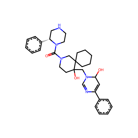 O=C(N1CCC(O)(CN2C=NC(c3ccccc3)=CC2O)C2(CCCCC2)C1)N1CCNC[C@H]1c1ccccc1